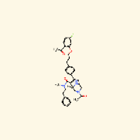 CC(=O)c1ccc(F)cc1OCCCc1ccc(C2=C(C(=O)N(C)CCc3ccccc3)[C@H]3CN(C(C)=O)CC(C2)N3)cc1